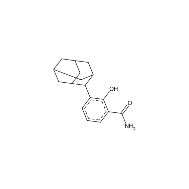 NC(=O)c1cccc(C2C3CC4CC(C3)CC2C4)c1O